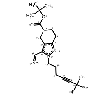 CC(C)(C)OC(=O)N1CCc2nn(CCCC#CC(F)(F)F)c(C=N)c2C1